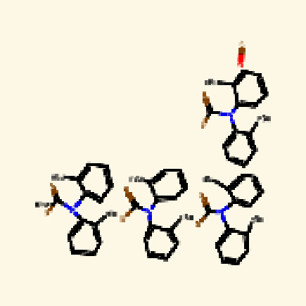 CCCCc1ccccc1N(C(=S)[S-])c1ccccc1CCCC.CCCCc1ccccc1N(C(=S)[S-])c1ccccc1CCCC.CCCCc1ccccc1N(C(=S)[S-])c1ccccc1CCCC.CCCCc1ccccc1N(C(=S)[S-])c1ccccc1CCCC.O=S.[Mo+4]